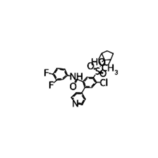 C[C@]1(O)C2CCC1C[C@@H](S(=O)(=O)c1cc(C(=O)Nc3ccc(F)c(F)c3)c(-c3ccncc3)cc1Cl)C2